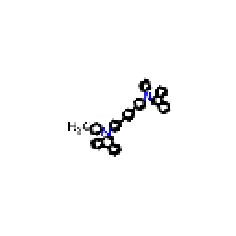 Cc1ccc(N(c2ccc(-c3ccc(-c4ccc(N(c5ccccc5)c5cc6ccccc6c6ccccc56)cc4)cc3)cc2)c2cc3ccccc3c3ccccc23)cc1